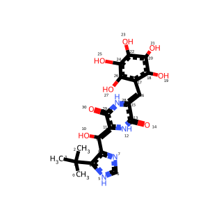 CC(C)(C)c1[nH]cnc1/C(O)=c1\[nH]c(=O)/c(=C/c2c(O)c(O)c(O)c(O)c2O)[nH]c1=O